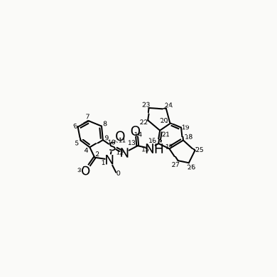 CN1C(=O)c2ccccc2S1(=O)=NC(=O)Nc1c2c(cc3c1CCC3)CCC2